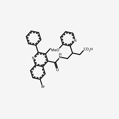 COc1cccnc1C(CNC(=O)c1c(C)c(-c2ccccc2)nc2ccc(Br)cc12)CC(=O)O